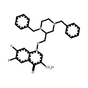 O=C(O)c1cn(OCC2CN(Cc3ccccc3)CCN2Cc2ccccc2)c2cc(F)c(F)cc2c1=O